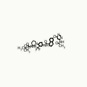 CC(=O)Nc1cc(Oc2ccc3c(C(=O)Nc4ccc(N5CCCC(NC(=O)OC(C)(C)C)C5)c(C(F)(F)F)c4)cccc3c2)ncn1